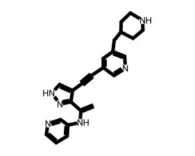 C=C(Nc1cccnc1)c1n[nH]cc1C#Cc1cncc(CC2CCNCC2)c1